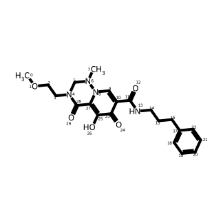 COCCN1CN(C)n2cc(C(=O)NCCCc3ccccc3)c(=O)c(O)c2C1=O